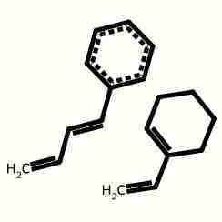 C=CC1=CCCCC1.C=CC=Cc1ccccc1